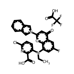 CCN(c1ccc(Cl)nc1C(=O)O)c1cc(F)cc2c(=O)cc(-n3cc4ccccc4c3)oc12.O=C(O)C(F)(F)F